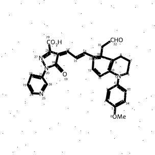 COc1ccc(N2CCCc3c2ccc(/C=C/C=C2\C(=O)N(c4cccnc4)N=C2C(=O)O)c3CC=O)cc1